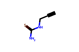 C#CCNC(N)=S